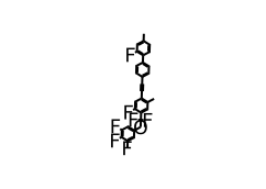 Cc1ccc(-c2ccc(C#Cc3cc(F)c(C(F)(F)Oc4cc(F)c(F)c(F)c4)cc3C)cc2)c(F)c1